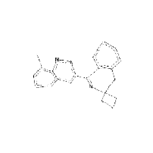 Cc1cccc2cc(C3=NC4(CCC4)Cc4ccccc43)nnc12